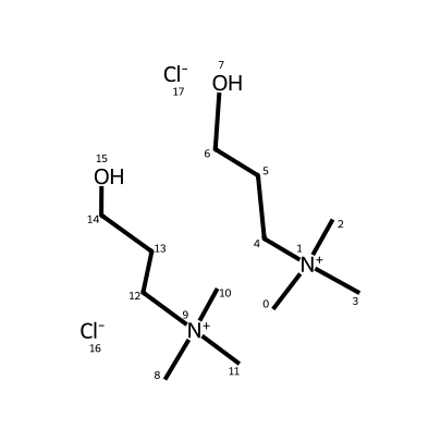 C[N+](C)(C)CCCO.C[N+](C)(C)CCCO.[Cl-].[Cl-]